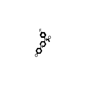 CC(=O)N(c1ccc(F)cc1)C1CCN(C2CCC(=O)CC2)CC1